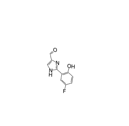 O=Cc1c[nH]c(-c2cc(F)ccc2O)n1